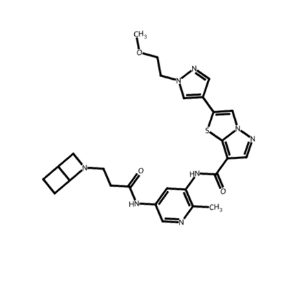 COCCn1cc(-c2cn3ncc(C(=O)Nc4cc(NC(=O)CCN5CC6CCC65)cnc4C)c3s2)cn1